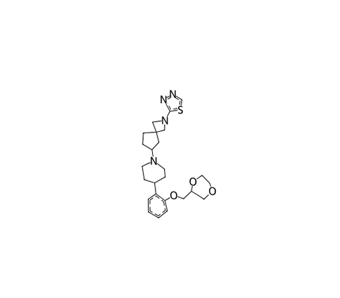 c1ccc(C2CCN(C3CCC4(C3)CN(c3nncs3)C4)CC2)c(OCC2COCCO2)c1